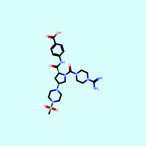 CS(=O)(=O)N1CCN([C@H]2C[C@@H](C(=O)Nc3ccc(C(=O)O)cc3)N(C(=O)N3CCN(C(=N)N)CC3)C2)CC1